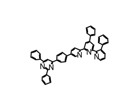 c1ccc(-c2cc(-c3ccc(-c4ccc(-c5cc(-c6ccccc6)nc(-c6ccccc6)n5)cc4)cn3)nc(-c3ncccc3-c3ccccc3)c2)cc1